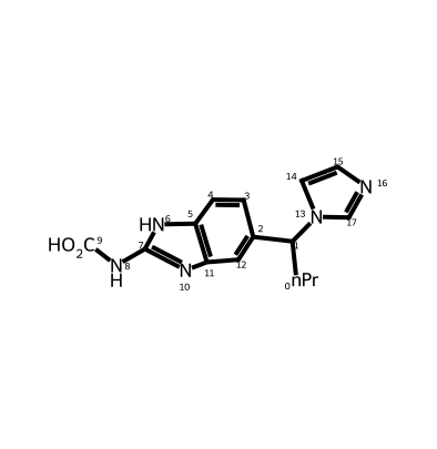 CCCC(c1ccc2[nH]c(NC(=O)O)nc2c1)n1ccnc1